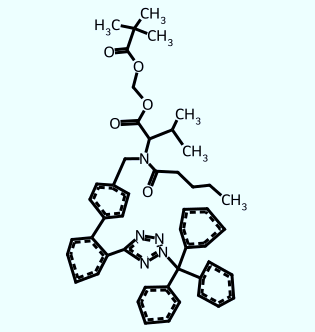 CCCCC(=O)N(Cc1ccc(-c2ccccc2-c2nnn(C(c3ccccc3)(c3ccccc3)c3ccccc3)n2)cc1)C(C(=O)OCOC(=O)C(C)(C)C)C(C)C